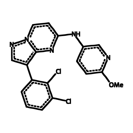 COc1ccc(Nc2ccn3ncc(-c4cccc(Cl)c4Cl)c3n2)cn1